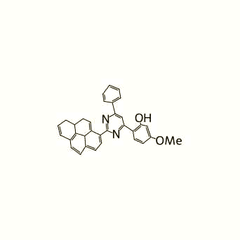 COc1ccc(-c2cc(-c3ccccc3)nc(C3=CC=C4C=CC5=C6C(CC=C5)CC=C3C46)n2)c(O)c1